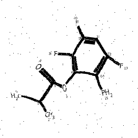 CC(C)C(=O)Oc1c(F)c(F)cc(F)c1P